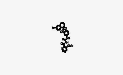 COc1cncnc1C(=O)NC(=O)Nc1ccc(OC2(Br)CC=Cc3cc(Br)ccc32)c(Cl)c1